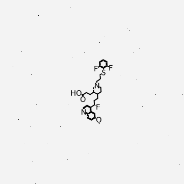 COc1ccc2nccc([C@@H](F)CCC3CCN(CCCSc4c(F)cccc4F)CC3CCC(=O)O)c2c1